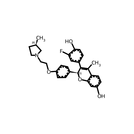 CC1=C(c2ccc(O)c(F)c2)[C@H](c2ccc(OCCN3CC[C@@H](C)C3)cc2)Oc2cc(O)ccc21